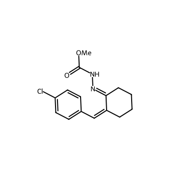 COC(=O)N/N=C1\CCCC\C1=C\c1ccc(Cl)cc1